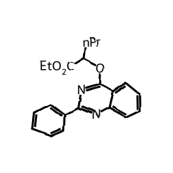 CCCC(Oc1nc(-c2ccccc2)nc2ccccc12)C(=O)OCC